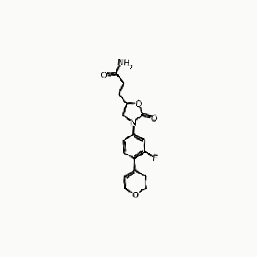 NC(=O)CCC1CN(c2ccc(C3=CCOCC3)c(F)c2)C(=O)O1